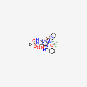 O=C(NS(=O)(=O)C1CC1)c1cnc2nc(N3C4CCC3CC(NCc3c(-c5ccccc5OC(F)(F)F)noc3C3CC3)C4)sc2n1